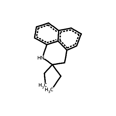 CCC1(CC)Cc2cccc3cccc(c23)N1